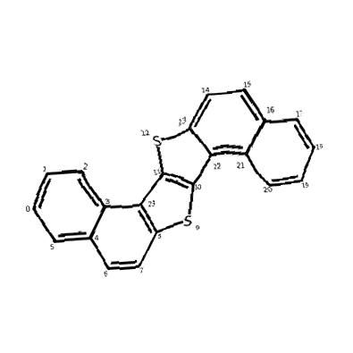 c1ccc2c(c1)ccc1sc3c(sc4ccc5ccccc5c43)c12